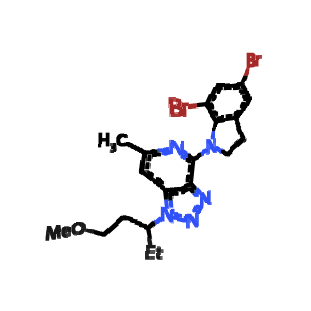 CCC(CCOC)n1nnc2c(N3CCc4cc(Br)cc(Br)c43)nc(C)cc21